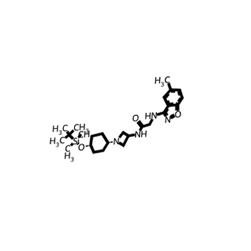 Cc1ccc2onc(NCC(=O)NC3CN([C@H]4CC[C@@H](O[Si](C)(C)C(C)(C)C)CC4)C3)c2c1